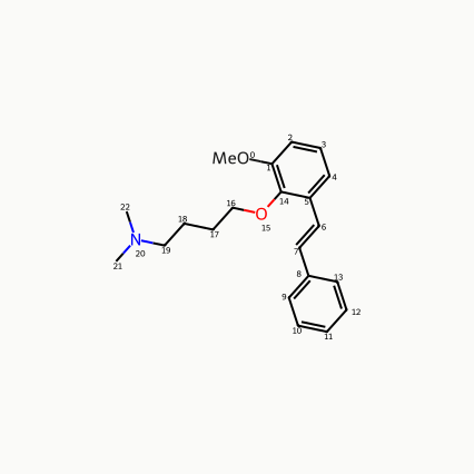 COc1cccc(C=Cc2ccccc2)c1OCCCCN(C)C